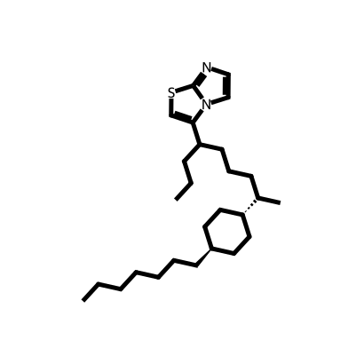 CCCCCCC[C@H]1CC[C@H](C(C)CCCC(CCC)c2csc3nccn23)CC1